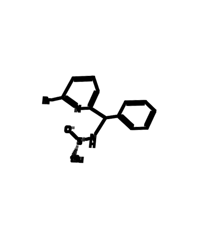 CC(C)(C)[S@+]([O-])NC(c1ccccc1)c1cccc(Br)n1